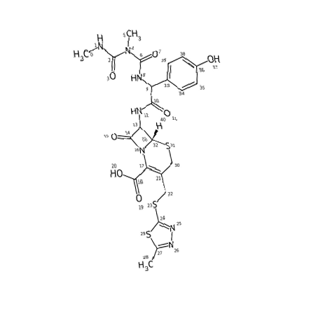 CNC(=O)N(C)C(=O)NC(C(=O)NC1C(=O)N2C(C(=O)O)=C(CSc3nnc(C)s3)CS[C@@H]12)c1ccc(O)cc1